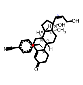 C[C@]12CC[C@H]3[C@@H](CCC4=CC(=O)CC[C@@]43Cc3ccc(C#N)cc3)[C@@H]1CC[C@@]2(O)/C=C\CO